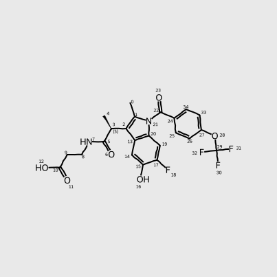 Cc1c([C@H](C)C(=O)NCCC(=O)O)c2cc(O)c(F)cc2n1C(=O)c1ccc(OC(F)(F)F)cc1